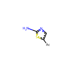 CC(=O)c1cnc(N)s1